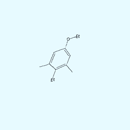 CCOc1cc(C)c(CC)c(C)c1